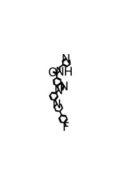 O=C(NCc1cccnc1)c1ccc2c(c1)ncn2-c1cccc(N2CCC(c3ccc(F)cc3)CC2)c1